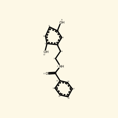 O=C(NCCc1cc(O)ccc1O)c1ccccc1